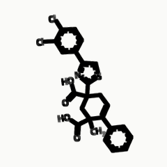 CC1(C(=O)O)CC(C(=O)O)(c2nc(-c3ccc(Cl)c(Cl)c3)cs2)CC=C1c1ccccc1